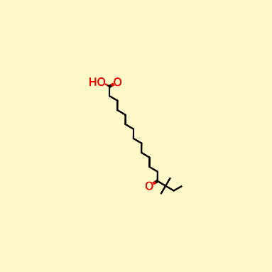 CCC(C)(C)C(=O)CCCCCCCCCCCCC(=O)O